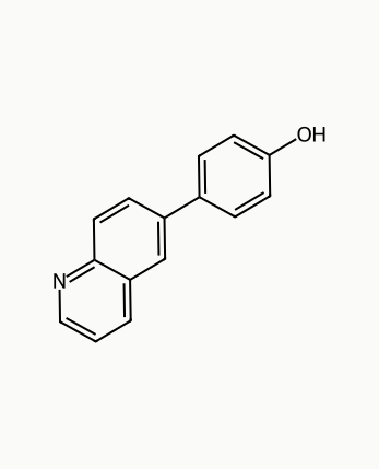 Oc1ccc(-c2ccc3ncccc3c2)cc1